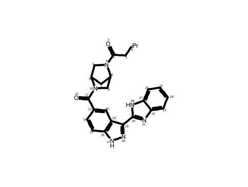 CC(C)CC(=O)N1CC2CC1CN2C(=O)c1ccc2[nH]nc(-c3nc4ccccc4[nH]3)c2c1